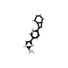 Cc1nc(-c2ccc(C3CC4CCCCC43)nc2)cs1